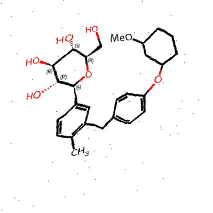 COC1CCCC(Oc2ccc(Cc3cc([C@@H]4O[C@H](CO)[C@@H](O)[C@H](O)[C@H]4O)ccc3C)cc2)C1